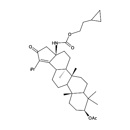 CC(=O)O[C@H]1CC[C@@]2(C)C(CC[C@]3(C)C2CCC2C4=C(C(C)C)C(=O)C[C@]4(NC(=O)OCCC4CC4)CC[C@]23C)C1(C)C